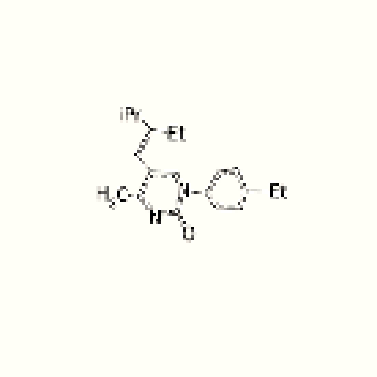 CC/C(=C\c1cn(-c2ccc(CC)cc2)c(=O)nc1C)C(C)C